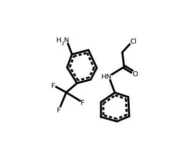 Nc1cccc(C(F)(F)F)c1.O=C(CCl)Nc1ccccc1